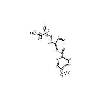 COc1ccc(-c2cccc(/C=C/[C@H](C)NO)c2)cc1